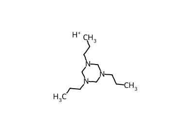 CCCN1CN(CCC)CN(CCC)C1.[H+]